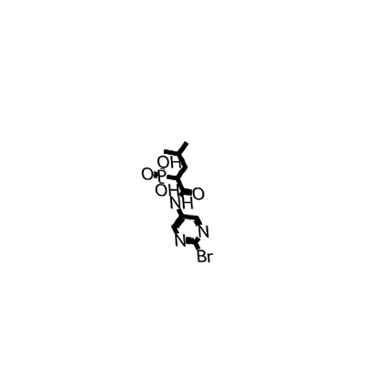 CC(C)CC(C(=O)Nc1cnc(Br)nc1)P(=O)(O)O